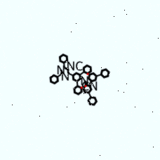 N#Cc1ccccc1-c1cc(-c2cc(-c3ccccc3)nc(-c3ccccc3)n2)cc(-c2ccccc2C#N)c1-n1c2ccc(-c3ccccc3)cc2c2cc(-c3ccccc3)ccc21